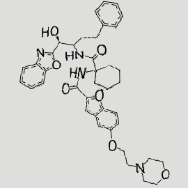 O=C(NC1(C(=O)NC(CCc2ccccc2)[C@H](O)c2nc3ccccc3o2)CCCCC1)c1cc2cc(OCCN3CCOCC3)ccc2o1